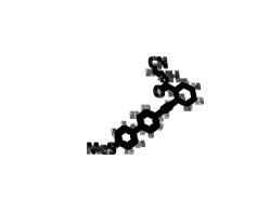 CSc1ccc(-c2ccc(C#CC3CCCCC3C(=O)NCC#N)cc2)cc1